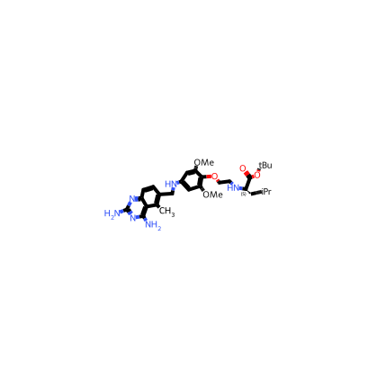 COc1cc(NCc2ccc3nc(N)nc(N)c3c2C)cc(OC)c1OCCN[C@@H](CC(C)C)C(=O)OC(C)(C)C